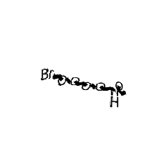 C=CC(=O)NCCOCCOCCOCCOCCBr